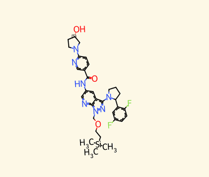 C[Si](C)(C)CCOCn1nc(N2CCCC2c2cc(F)ccc2F)c2cc(NC(=O)c3ccc(N4CC[C@H](O)C4)nc3)cnc21